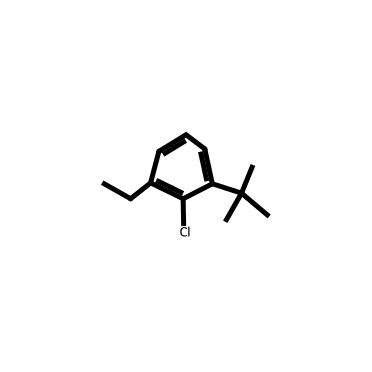 CCc1cccc(C(C)(C)C)c1Cl